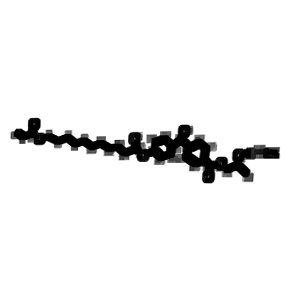 C=CC(=O)OCCCCCCCCCCC(=O)Oc1ccc(C(=O)c2ccc(C(=O)OCC(C)OCCCCCC)cc2)cc1